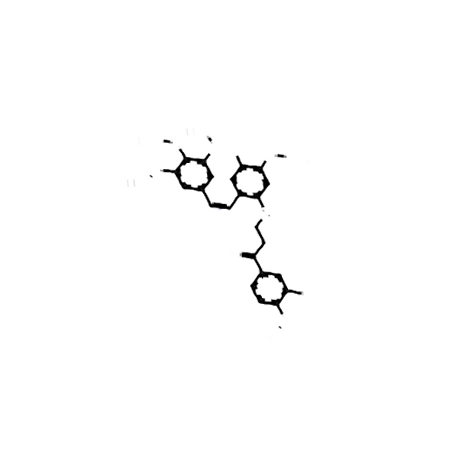 COc1ccc(C(=O)CCNc2cc(OC)c(F)cc2/C=C\c2cc(OC)c(OC)c(OC)c2)cc1F